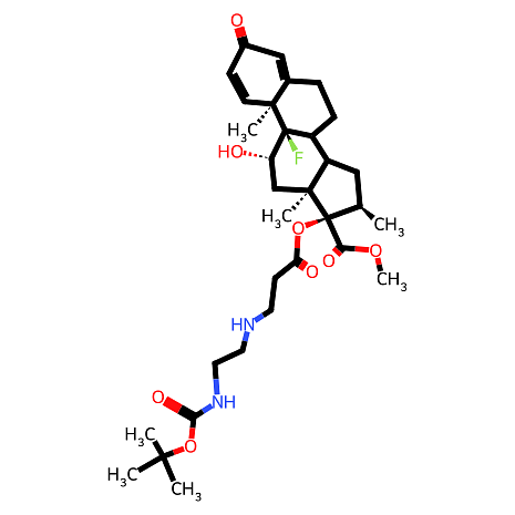 COC(=O)[C@@]1(OC(=O)CCNCCNC(=O)OC(C)(C)C)[C@H](C)CC2C3CCC4=CC(=O)C=C[C@]4(C)[C@@]3(F)[C@@H](O)C[C@@]21C